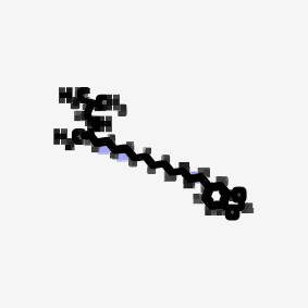 C=C(/C=C/C=C/CCCCCC/C=C/c1ccc2c(c1)OCO2)NCC(C)C